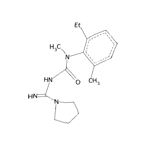 CCc1cccc(C)c1N(C)C(=O)NC(=N)N1CCCC1